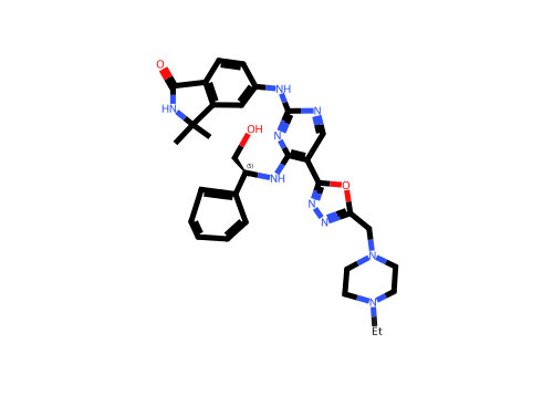 CCN1CCN(Cc2nnc(-c3cnc(Nc4ccc5c(c4)C(C)(C)NC5=O)nc3N[C@H](CO)c3ccccc3)o2)CC1